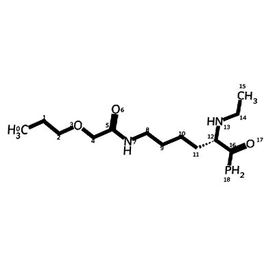 CCCOCC(=O)NCCCC[C@H](NCC)C(=O)P